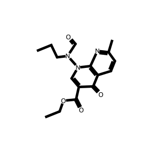 CCCN(C=O)n1cc(C(=O)OCC)c(=O)c2ccc(C)nc21